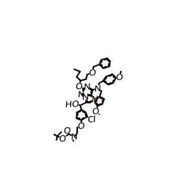 CCCC(CCOCc1ccccc1)Oc1nc(N(Cc2ccc(OC)cc2)Cc2ccc(OC)cc2)c2ncc(C(O)c3ccc(OCCN(C)C(=O)OC(C)(C)C)c(Cl)c3)n2n1